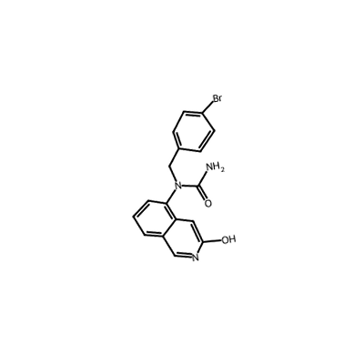 NC(=O)N(Cc1ccc(Br)cc1)c1cccc2cnc(O)cc12